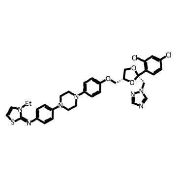 CCn1ccsc1=Nc1ccc(N2CCN(c3ccc(OC[C@@H]4CO[C@@](Cn5cncn5)(c5ccc(Cl)cc5Cl)O4)cc3)CC2)cc1